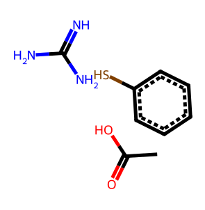 CC(=O)O.N=C(N)N.Sc1ccccc1